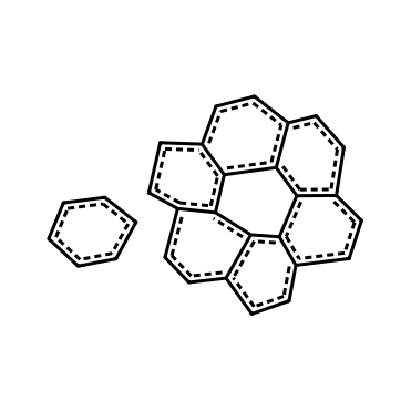 c1cc2ccc3ccc4ccc5ccc6ccc1c1c2c3c4c5c61.c1ccccc1